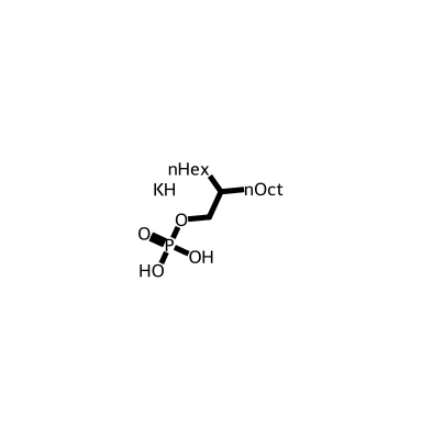 CCCCCCCCC(CCCCCC)COP(=O)(O)O.[KH]